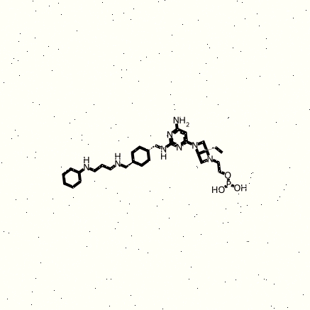 CC[C@@]12CN(c3cc(N)nc(NC[C@H]4CC[C@H](CNCCCNC5CCCCC5)CC4)n3)C1CN2CCOP(O)O